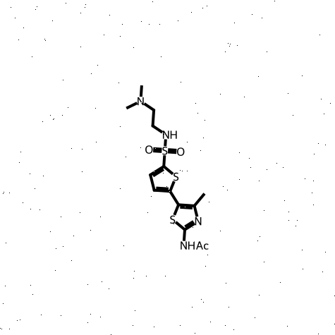 CC(=O)Nc1nc(C)c(-c2ccc(S(=O)(=O)NCCN(C)C)s2)s1